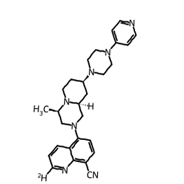 [2H]c1ccc2c(N3C[C@@H]4C[C@H](N5CCN(c6ccncc6)CC5)CCN4[C@H](C)C3)ccc(C#N)c2n1